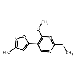 COc1nc(SC)ncc1-c1cc(C)no1